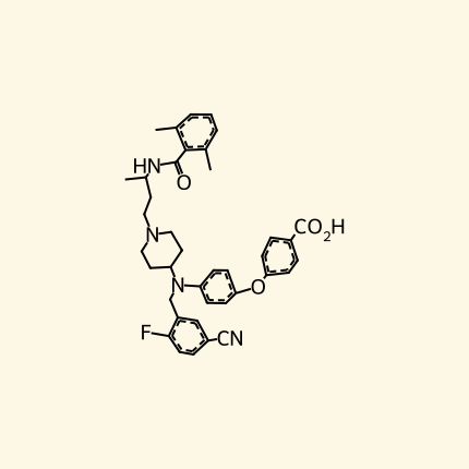 Cc1cccc(C)c1C(=O)NC(C)CCN1CCC(N(Cc2cc(C#N)ccc2F)c2ccc(Oc3ccc(C(=O)O)cc3)cc2)CC1